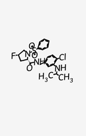 CC(C)Nc1cc(CNC(=O)[C@@H]2C[C@@H](F)CN2S(=O)(=O)c2ccccc2)ccc1Cl